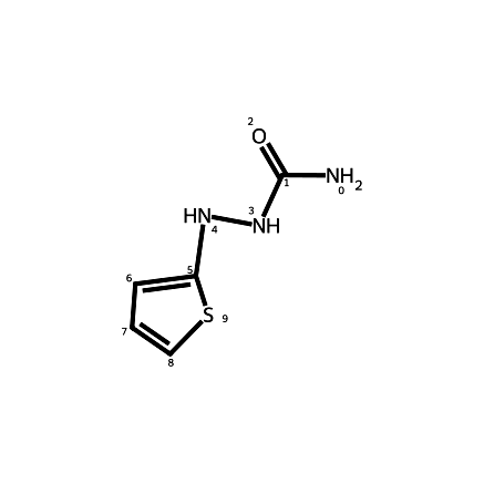 NC(=O)NNc1cccs1